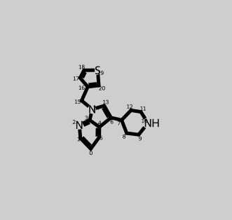 c1cnc2c(c1)c(C1CCNCC1)cn2Cc1ccsc1